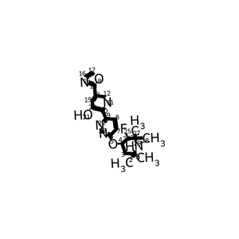 CC1(C)C[C@@H](Oc2ccc(-c3ncc(-c4ncco4)cc3O)nn2)[C@@H](F)C(C)(C)N1